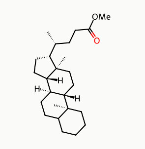 COC(=O)CC[C@@H](C)[C@H]1CC[C@H]2[C@@H]3CCC4CCCC[C@]4(C)[C@H]3CC[C@]12C